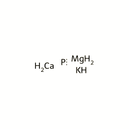 [CaH2].[KH].[MgH2].[P]